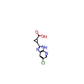 O=C(O)C1CC1c1nc2cc(Cl)cnc2[nH]1